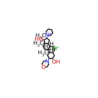 C[C@]12CC(N3CCOCC3)C(O)CC1CC[C@@H]1[C@H]2CC[C@]2(C)C(O)C([N+]3(C)CCCCC3)C[C@@H]12.[Br-]